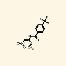 CSC(=C[N+](=O)[O-])NC(=O)c1ccc(C(F)(F)F)cc1